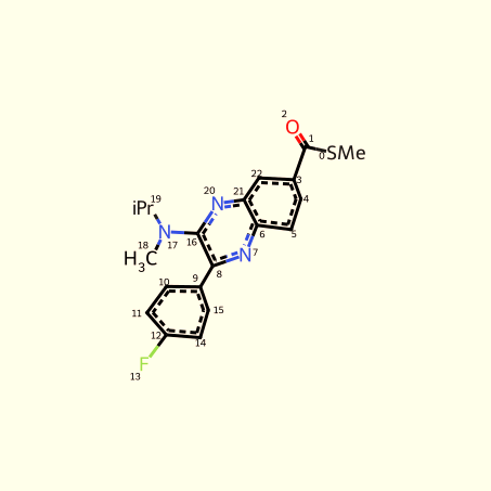 CSC(=O)c1ccc2nc(-c3ccc(F)cc3)c(N(C)C(C)C)nc2c1